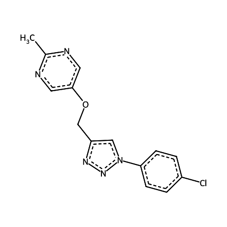 Cc1ncc(OCc2cn(-c3ccc(Cl)cc3)nn2)cn1